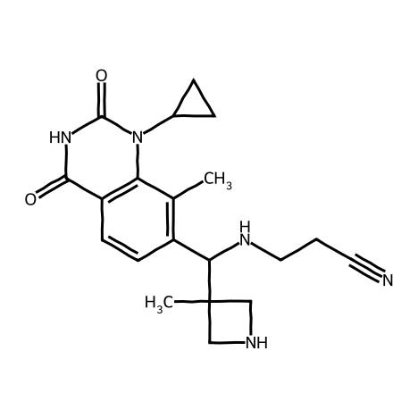 Cc1c(C(NCCC#N)C2(C)CNC2)ccc2c(=O)[nH]c(=O)n(C3CC3)c12